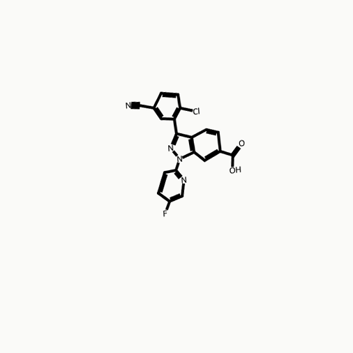 N#Cc1ccc(Cl)c(-c2nn(-c3ccc(F)cn3)c3cc(C(=O)O)ccc23)c1